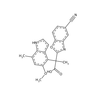 COc1cc(C)c2[nH]ccc2c1C(C)(C(=O)O)c1nc2cc(C#N)ccc2o1